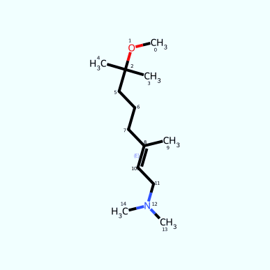 COC(C)(C)CCC/C(C)=[C]/CN(C)C